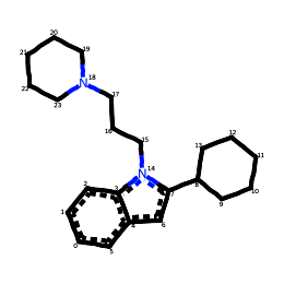 c1ccc2c(c1)cc(C1CCCCC1)n2CCCN1CCCCC1